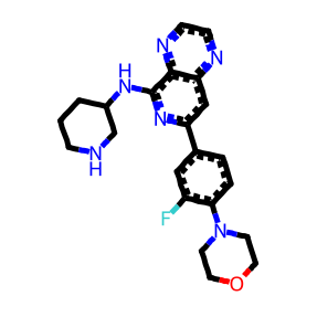 Fc1cc(-c2cc3nccnc3c(NC3CCCNC3)n2)ccc1N1CCOCC1